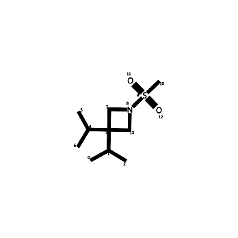 CC(C)C1(C(C)C)CN(S(C)(=O)=O)C1